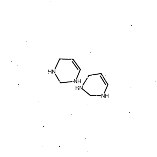 C1=CNCNC1.C1=CNCNC1